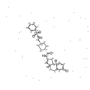 O=C(NC1=N[C@@H]2CCc3cc(Cl)ccc3[C@@H]2C1)[C@H]1CC[C@H](CNS(=O)(=O)c2ccccc2)CC1